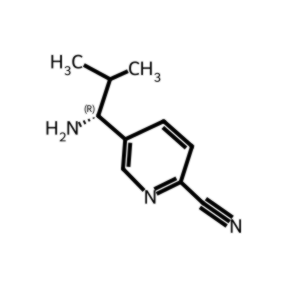 CC(C)[C@@H](N)c1ccc(C#N)nc1